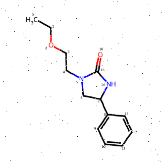 CCOCCN1CC(c2ccccc2)NC1=O